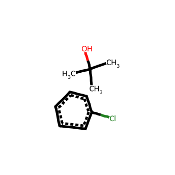 CC(C)(C)O.Clc1ccccc1